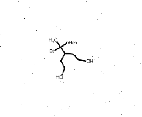 CCCCCCC(C)(CC)C(CCO)CCO